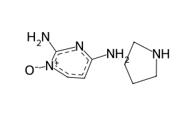 C1CCNC1.Nc1cc[n+]([O-])c(N)n1